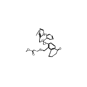 COC(=O)CCSCc1c(O[C@@H](Cc2ncc[nH]2)c2ccccc2)ccc2c1CCCC2=O